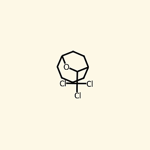 ClC(Cl)(Cl)C1OC2CCCCC1CC2